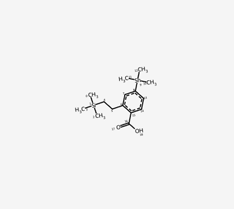 C[Si](C)(C)CCc1c[c]([Sn]([CH3])([CH3])[CH3])ccc1C(=O)O